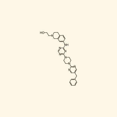 OCCN1CCc2ccc(Nc3ncnc(N4CCN(c5ncc(Cc6ccccc6)cn5)CC4)n3)cc2C1